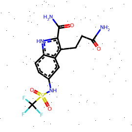 NC(=O)[CH]Cc1c(C(N)=O)[nH]c2ccc(NS(=O)(=O)C(F)(F)F)cc12